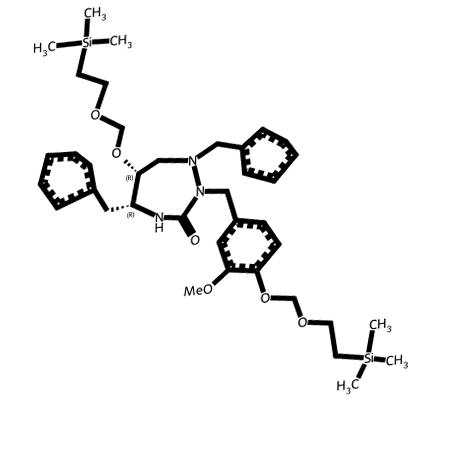 COc1cc(CN2C(=O)N[C@H](Cc3ccccc3)[C@H](OCOCC[Si](C)(C)C)CN2Cc2ccccc2)ccc1OCOCC[Si](C)(C)C